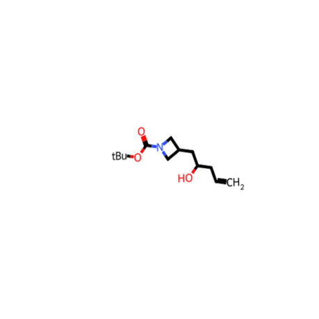 C=CCC(O)CC1CN(C(=O)OC(C)(C)C)C1